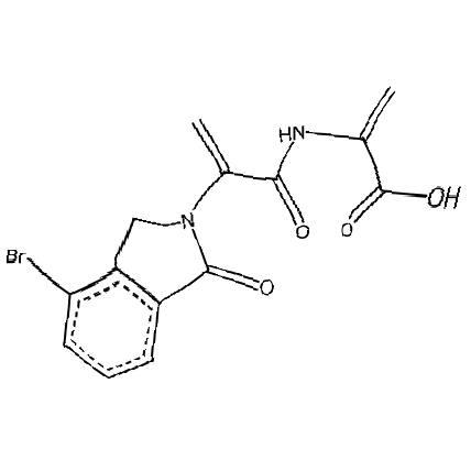 C=C(NC(=O)C(=C)N1Cc2c(Br)cccc2C1=O)C(=O)O